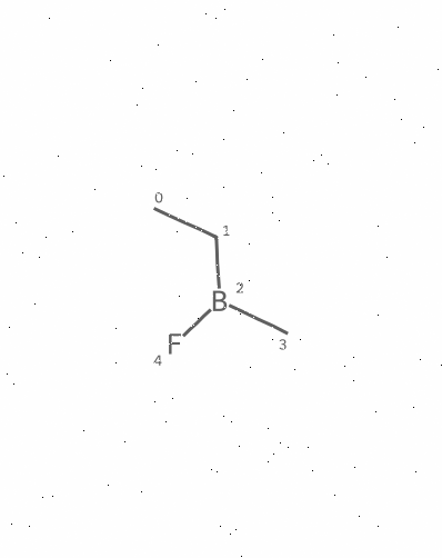 CCB(C)F